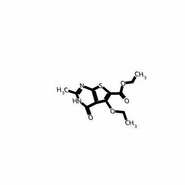 CCOC(=O)c1sc2nc(C)[nH]c(=O)c2c1OCC